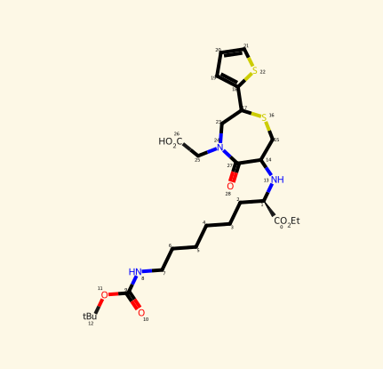 CCOC(=O)[C@@H](CCCCCCNC(=O)OC(C)(C)C)NC1CSC(c2cccs2)CN(CC(=O)O)C1=O